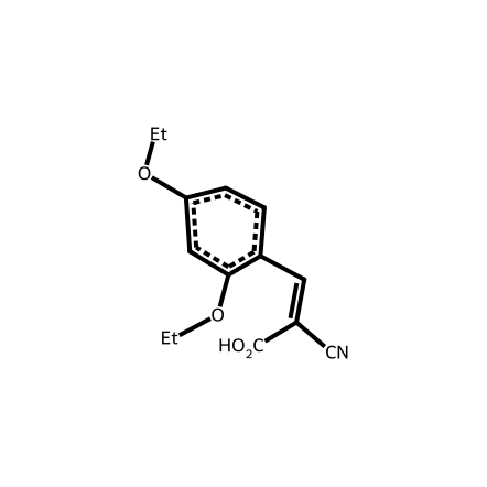 CCOc1ccc(C=C(C#N)C(=O)O)c(OCC)c1